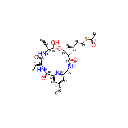 C#C[C@@H]1NC(=O)/C(=C/C)NC(=O)c2cc(SC)cc(n2)CNC(=O)C[C@@H](/C=C/CCSC(C)=O)OC1O